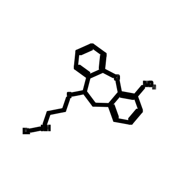 CCNCCSC1Cc2cccc([N+](=O)[O-])c2Oc2ccccc21